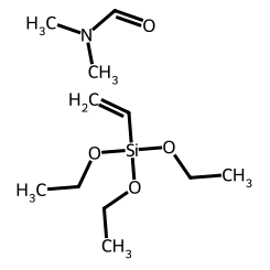 C=C[Si](OCC)(OCC)OCC.CN(C)C=O